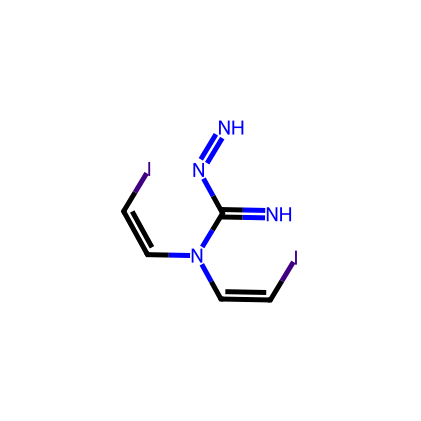 N=NC(=N)N(/C=C\I)/C=C\I